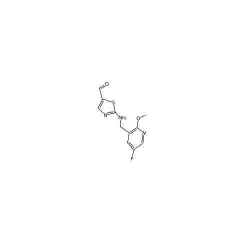 COc1ncc(F)cc1CNc1ncc(C=O)s1